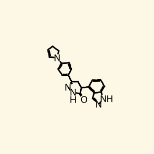 O=C1NN=C(c2ccc(N3C=CCC3)cc2)CC1c1cccc2[nH]ncc12